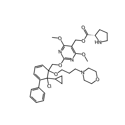 COc1nc(OCC2(OCCCN3CCOCC3)C=CC=C(c3ccccc3)C2(Cl)C2CC2)nc(OC)c1COC(=O)[C@@H]1CCCN1